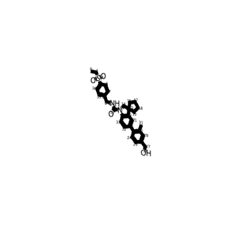 CCS(=O)(=O)c1ccc(CNC(=O)N2CC3(CCCC3)c3cc(-c4ccc(CO)cc4C)ccc32)cc1